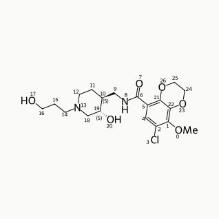 COc1c(Cl)cc(C(=O)NC[C@@H]2CCN(CCCO)C[C@H]2O)c2c1OCCO2